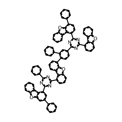 c1ccc(-c2cc(-c3nc(-c4ccccc4)nc(-c4cccc5oc6c(-c7ccc(-c8nc(-c9cccc%10oc%11ccccc%11c9%10)nc(-c9ccc(-c%10ccccc%10)c%10oc%11ccccc%11c9%10)n8)cc7-c7ccccc7)cccc6c45)n3)c3c(c2)oc2ccccc23)cc1